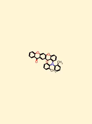 Cc1ccccc1N(c1ccccc1C)c1cccc2oc3cc4oc5ccccc5c(=O)c4cc3c(=O)c12